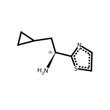 N[C@@H](CC1CC1)c1nccs1